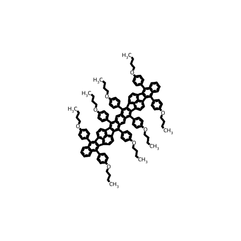 CCCCOc1ccc(-c2c3c(c(-c4ccc(OCCCC)cc4)c4ccccc24)-c2ccc4c5c(ccc-3c25)-c2c-4c(-c3ccc(OCCCC)cc3)c3cc4c(-c5ccc(OCCCC)cc5)c5c(c(-c6ccc(OCCCC)cc6)c4cc3c2-c2ccc(OCCCC)cc2)-c2ccc3c4c(ccc-5c24)-c2c-3c(-c3ccc(OCCCC)cc3)c3ccccc3c2-c2ccc(OCCCC)cc2)cc1